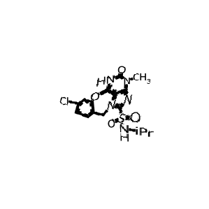 CC(C)NS(=O)(=O)c1nc2c(c(=O)[nH]c(=O)n2C)n1Cc1ccc(Cl)cc1